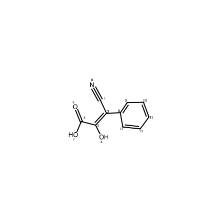 N#CC(=C(O)C(=O)O)c1ccccc1